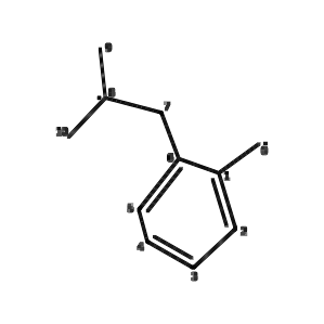 [CH2]c1ccccc1C[C](C)C